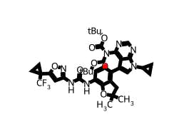 CC(C)(C)OC(=O)N(C(=O)OC(C)(C)C)c1ncnc2c1c(-c1ccc(NC(=O)Nc3cc(C4(C(F)(F)F)CC4)on3)c3c1CC(C)(C)O3)cn2C1CC1